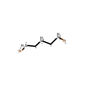 Br[SiH2]C[SiH2]C[SiH2]Br